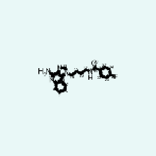 Nc1nc2ccccc2c2c1ncn2CCCCNC(=O)c1ccc(F)cc1